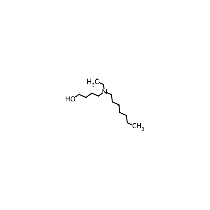 CCCCCCCN(CC)CCC[CH]O